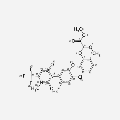 COC(=O)C(OC)Oc1ccccc1Oc1cc(-n2c(=O)cc(C(F)(F)F)n(C)c2=O)c(F)cc1Cl